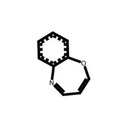 C1=COc2ccccc2N=C1